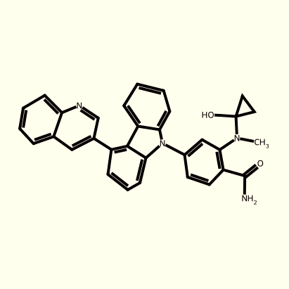 CN(c1cc(-n2c3ccccc3c3c(-c4cnc5ccccc5c4)cccc32)ccc1C(N)=O)C1(O)CC1